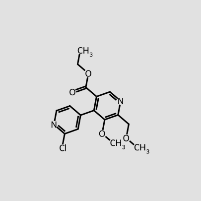 CCOC(=O)c1cnc(COC)c(OC)c1-c1ccnc(Cl)c1